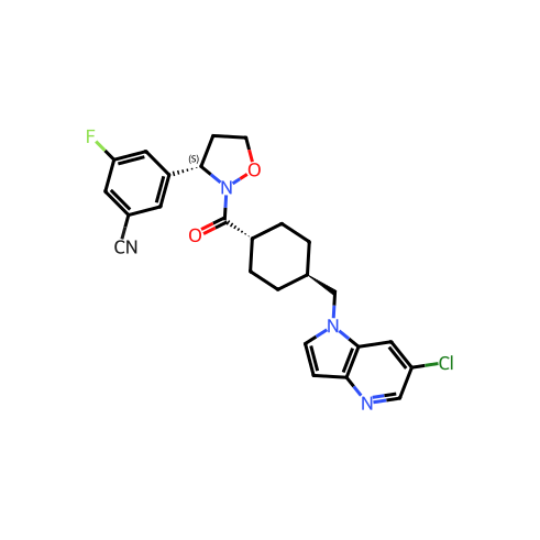 N#Cc1cc(F)cc([C@@H]2CCON2C(=O)[C@H]2CC[C@H](Cn3ccc4ncc(Cl)cc43)CC2)c1